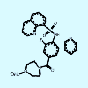 O=CN1CCN(C(=O)c2ccc(NS(=O)(=O)c3cccc4cccnc34)c(F)c2)CC1.c1ccncc1